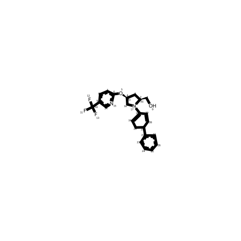 OC[C@@H]1C[C@H](Oc2ccc(C(F)(F)F)cn2)CN1C1=CCC(c2ccccc2)C=C1